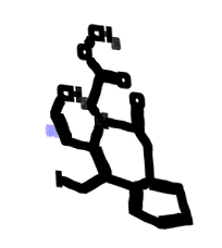 C/C=C\C1=C(CI)c2ccccc2CC(=O)N1CC(=O)OC